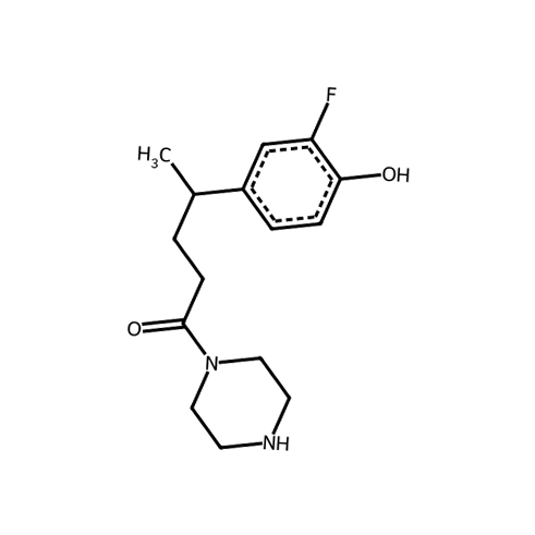 CC(CCC(=O)N1CCNCC1)c1ccc(O)c(F)c1